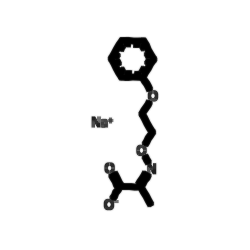 CC(=NOCCOc1ccccc1)C(=O)[O-].[Na+]